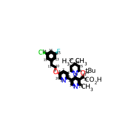 Cc1ncc(-c2ccc(OCCc3cc(F)cc(Cl)c3)cn2)c(N2CCC(C)(C)CC2)c1[C@H](OC(C)(C)C)C(=O)O